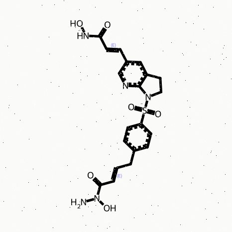 NN(O)C(=O)/C=C/Cc1ccc(S(=O)(=O)N2CCc3cc(/C=C/C(=O)NO)cnc32)cc1